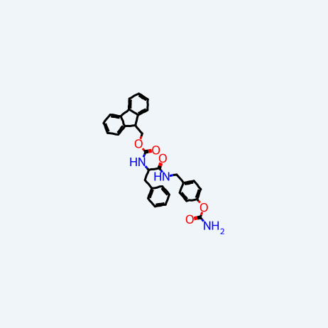 NC(=O)Oc1ccc(CNC(=O)C(Cc2ccccc2)NC(=O)OCC2c3ccccc3-c3ccccc32)cc1